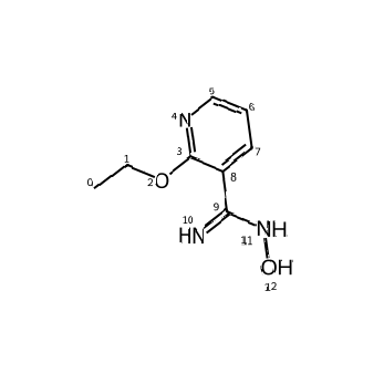 CCOc1ncccc1C(=N)NO